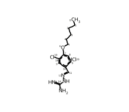 CCCCCCOc1ccc(C=NNC(=N)N)cc1Cl.Cl